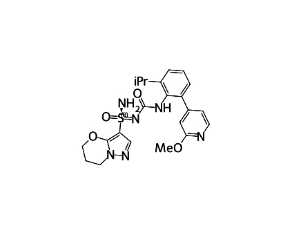 COc1cc(-c2cccc(C(C)C)c2NC(=O)N=[S@@](N)(=O)c2cnn3c2OCCC3)ccn1